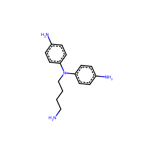 NCCCCN(c1ccc(N)cc1)c1ccc(N)cc1